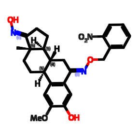 COc1cc2c(cc1O)/C(=N/OCc1ccccc1[N+](=O)[O-])C[C@@H]1[C@@H]2CC[C@]2(C)/C(=N/O)CC[C@@H]12